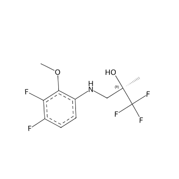 COc1c(NC[C@@](C)(O)C(F)(F)F)ccc(F)c1F